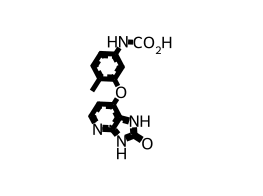 Cc1ccc(NC(=O)O)cc1Oc1ccnc2[nH]c(=O)[nH]c12